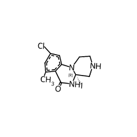 Cc1cc(Cl)cc2c1C(=O)N[C@]1(I)CNCCN21